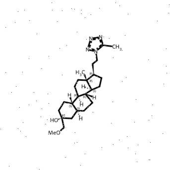 COC[C@@]1(O)CC[C@H]2[C@@H](CC[C@@H]3[C@@H]2CC[C@]2(C)[C@@H](CCn4nnnc4C)CC[C@@H]32)C1